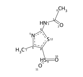 CC(=O)Nc1nc(C)c([SH](=O)=O)s1